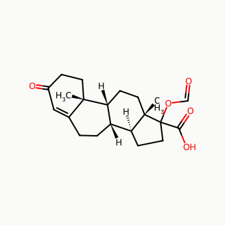 C[C@]12CCC(=O)C=C1CC[C@@H]1[C@H]2CC[C@@]2(C)[C@H]1CCC2(OC=O)C(=O)O